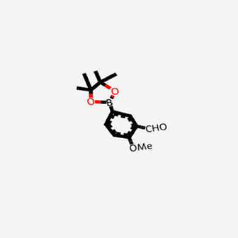 COc1ccc(B2OC(C)(C)C(C)(C)O2)cc1C=O